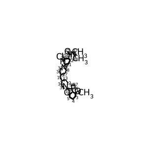 COc1ccccc1C1(C(=O)N2CCC(CC3CCN(c4ccc(C(=O)N(C)C)c(Cl)n4)CC3)CC2)CCC1